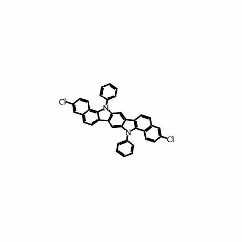 Clc1ccc2c(ccc3c4cc5c(cc4n(-c4ccccc4)c23)c2ccc3cc(Cl)ccc3c2n5-c2ccccc2)c1